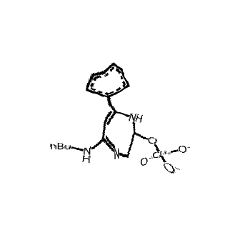 CCCCNC1=NCC(O[Cl+3]([O-])([O-])[O-])NC(c2ccccc2)=C1